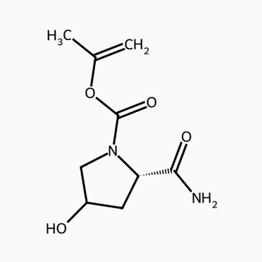 C=C(C)OC(=O)N1CC(O)C[C@H]1C(N)=O